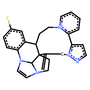 C=C1Cn2nccc2-c2cccc[n+]2CCC2c3cc(F)ccc3N3C=CN4CCC12C43